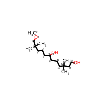 COCC(C)(C)CCCC(O)CCCC(C)(C)CCO